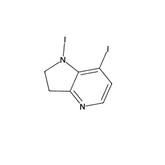 Ic1ccnc2c1N(I)CC2